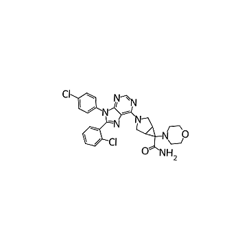 NC(=O)C1(N2CCOCC2)C2CN(c3ncnc4c3nc(-c3ccccc3Cl)n4-c3ccc(Cl)cc3)CC21